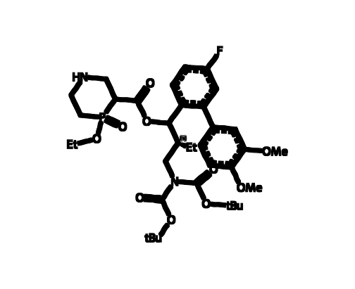 CCOP1(=O)CCNCC1C(=O)OC(c1ccc(F)cc1-c1ccc(OC)c(OC)c1)[C@@H](CC)CN(C(=O)OC(C)(C)C)C(=O)OC(C)(C)C